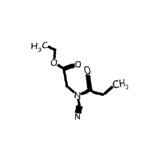 CCOC(=O)CN(C#N)C(=O)CC